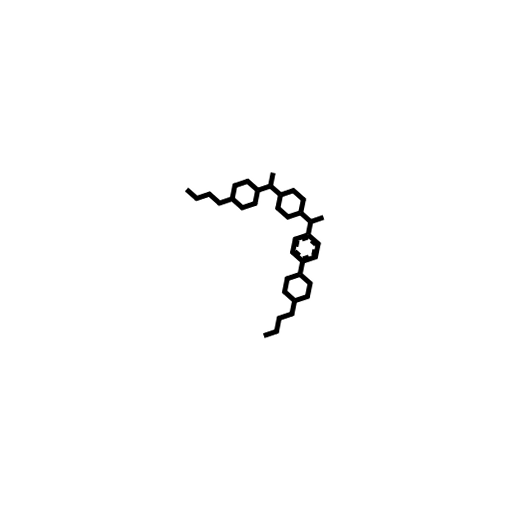 CCCCC1CCC(c2ccc(C(C)C3CCC(C(C)C4CCC(CCCC)CC4)CC3)cc2)CC1